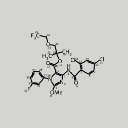 COc1nc(NC(=O)c2ccc(Cl)cc2Cl)c(C(=O)OC(C)(C)COCC(F)(F)F)n1-c1cccc(F)c1